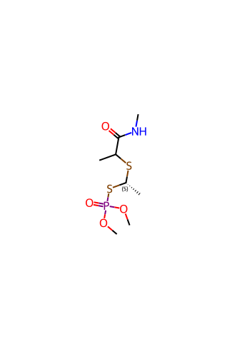 CNC(=O)C(C)S[C@H](C)SP(=O)(OC)OC